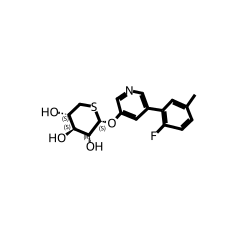 Cc1ccc(F)c(-c2cncc(O[C@H]3SC[C@@H](O)[C@H](O)[C@H]3O)c2)c1